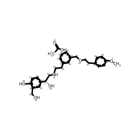 CC(=O)O.COc1ccc(CCOCc2cccc(CCNC[C@H](O)c3ccc(O)c(CO)c3)c2)cc1